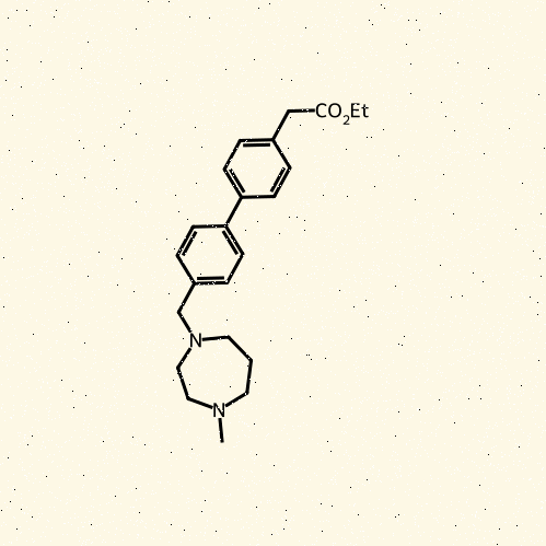 CCOC(=O)Cc1ccc(-c2ccc(CN3CCCN(C)CC3)cc2)cc1